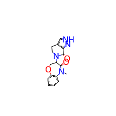 CN1C(=O)C(N2CCc3c[nH]nc3C2=O)COc2ccccc21